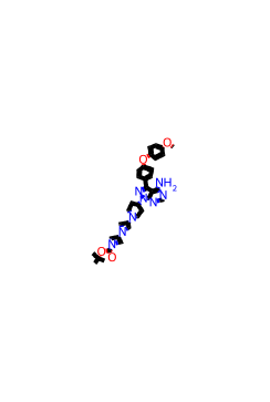 COc1ccc(Oc2ccc(-c3nn(C4CCN(C5CN(C6CN(C(=O)OC(C)(C)C)C6)C5)CC4)c4ncnc(N)c34)cc2)cc1